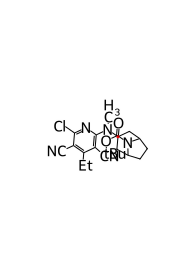 CCc1c(C#N)c(Cl)nc(N(C)C2CC3CCC(C2)N3C(=O)OC(C)(C)C)c1C#N